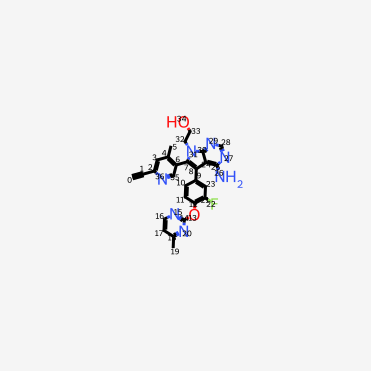 C#Cc1cc(C)c(-c2c(-c3ccc(Oc4nccc(C)n4)c(F)c3)c3c(N)ncnc3n2CCO)cn1